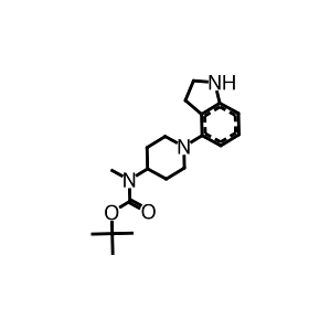 CN(C(=O)OC(C)(C)C)C1CCN(c2cccc3c2CCN3)CC1